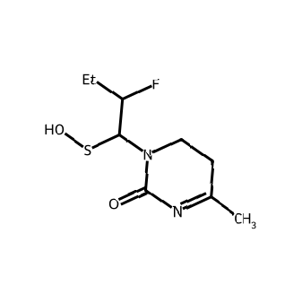 CCC(F)C(SO)N1CCC(C)=NC1=O